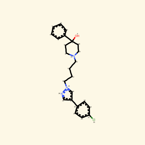 OC1(c2ccccc2)CCN(CCCCn2cc(-c3ccc(Cl)cc3)cn2)CC1